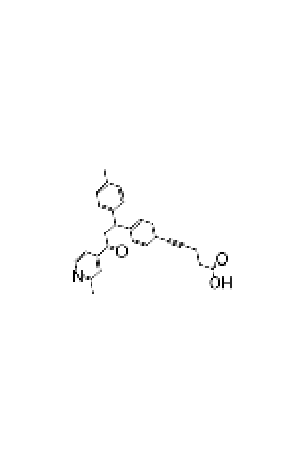 Cc1ccc(C(CC(=O)c2ccnc(C)c2)c2ccc(C#CCCC(=O)O)cc2)cc1